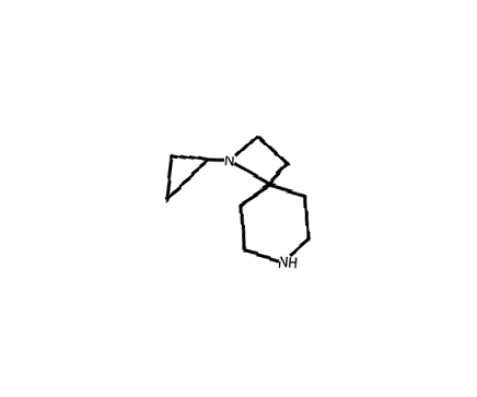 C1CC2(CCN1)CCN2C1CC1